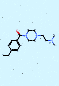 CCc1ccc(C(=O)N2CCN(CCN(C)C)CC2)cc1